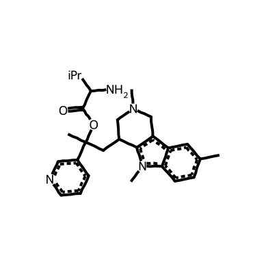 Cc1ccc2c(c1)c1c(n2C)C(CC(C)(OC(=O)C(N)C(C)C)c2cccnc2)CN(C)C1